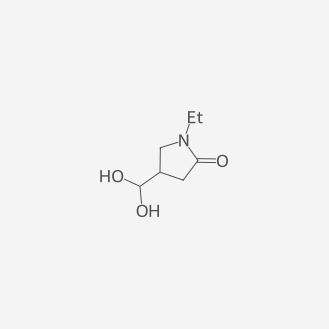 CCN1CC(C(O)O)CC1=O